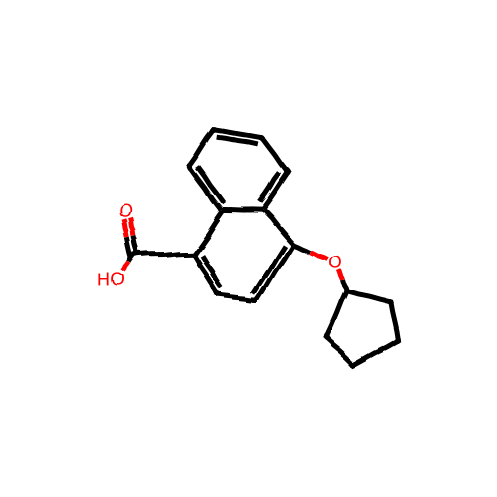 O=C(O)c1ccc(OC2CCCC2)c2ccccc12